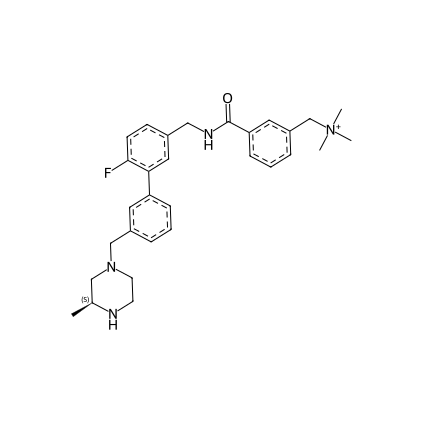 C[C@H]1CN(Cc2cccc(-c3cc(CNC(=O)c4cccc(C[N+](C)(C)C)c4)ccc3F)c2)CCN1